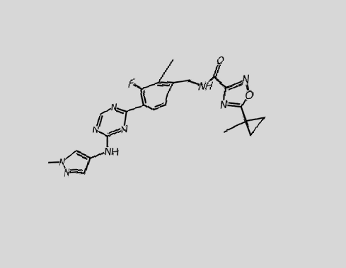 Cc1c(CNC(=O)c2noc(C3(C)CC3)n2)ccc(-c2ncnc(Nc3cnn(C)c3)n2)c1F